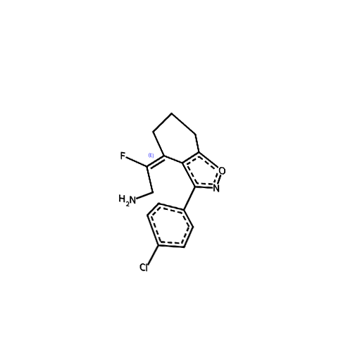 NC/C(F)=C1/CCCc2onc(-c3ccc(Cl)cc3)c21